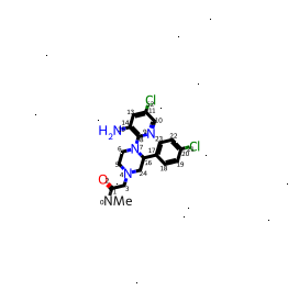 CNC(=O)CN1CCN(c2ncc(Cl)cc2N)C(c2ccc(Cl)cc2)C1